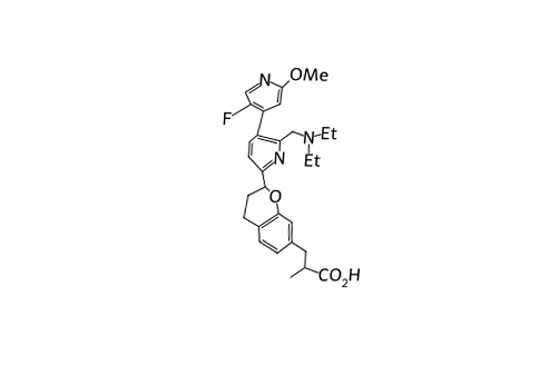 CCN(CC)Cc1nc(C2CCc3ccc(CC(C)C(=O)O)cc3O2)ccc1-c1cc(OC)ncc1F